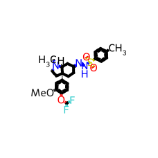 COc1cc([C@@]23CC/C(=N\NS(=O)(=O)c4ccc(C)cc4)C[C@@H]2N(C)CC3)ccc1OC(F)F